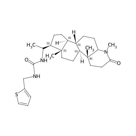 CC(NC(=O)NCc1cccs1)[C@H]1CC[C@H]2[C@@H]3CCC4N(C)C(=O)CC[C@]4(C)[C@H]3CC[C@]12C